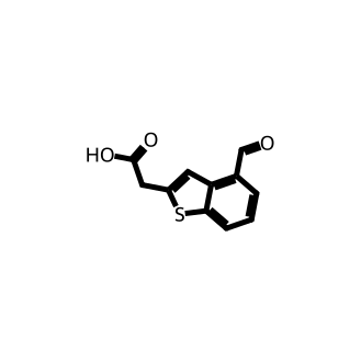 O=Cc1cccc2sc(CC(=O)O)cc12